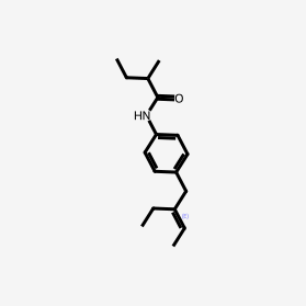 C/C=C(\CC)Cc1ccc(NC(=O)C(C)CC)cc1